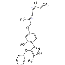 C=C/C(Cl)=C\C=C(/C)COc1ccc(-c2n[nH]c(C)c2Oc2ccccc2)c(O)c1